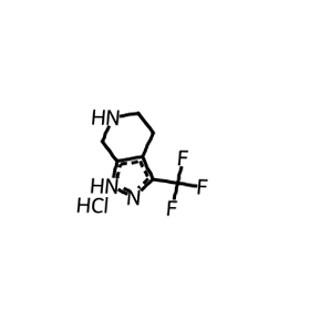 Cl.FC(F)(F)c1n[nH]c2c1CCNC2